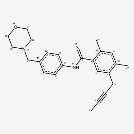 CC#CCc1cc(C(=S)Nc2ccc(CN3CCOCC3)cc2)c(C)cc1C